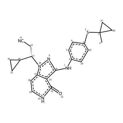 CC1(Sc2ccc(Nc3nn([C@@H](CC#N)C4CC4)c4cc[nH]c(=O)c34)cc2)CC1